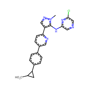 Cn1ncc(-c2ccc(-c3ccc(C4CC4C(=O)O)cc3)cn2)c1Nc1cncc(Cl)n1